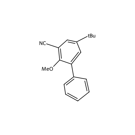 COc1c(C#N)cc(C(C)(C)C)cc1-c1ccccc1